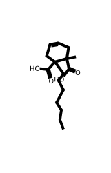 CCCCCCCC1(C(=O)O)CC=CCC1(C)C(=O)O